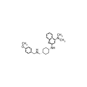 COc1ccc(CNC[C@H]2CC[C@@H](Nc3cc(N(C)C)c4ccccc4n3)CC2)cc1